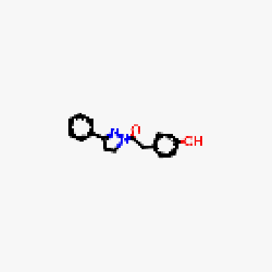 O=C(Cc1ccc(O)cc1)N1CCC(c2ccccc2)=N1